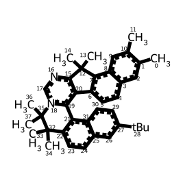 Cc1cc2ccc3c(c2cc1C)C(C)(C)c1nc[n+]2c(c1-3)-c1c(ccc3cc(C(C)(C)C)ccc13)C(C)(C)C2(C)C